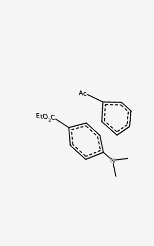 CC(=O)c1ccccc1.CCOC(=O)c1ccc(N(C)C)cc1